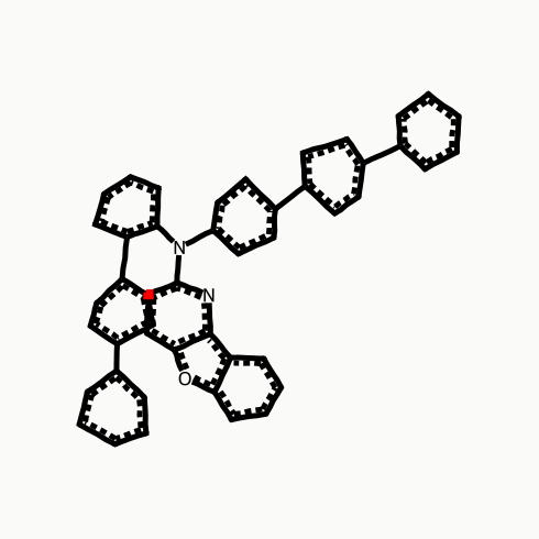 c1ccc(-c2ccc(-c3ccc(N(c4ccc5oc6ccccc6c5n4)c4ccccc4-c4ccc(-c5ccccc5)cc4)cc3)cc2)cc1